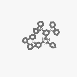 c1ccc(-c2nc(-c3cc(-n4c5ccccc5c5ccccc54)cc(-n4c5ccccc5c5ccccc54)c3)nc(-c3ccc4c5cccc6c5n(c4c3)-c3ccccc3-c3ccccc3-6)n2)cc1